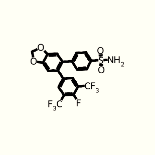 NS(=O)(=O)c1ccc(-c2cc3c(cc2-c2cc(C(F)(F)F)c(F)c(C(F)(F)F)c2)OCO3)cc1